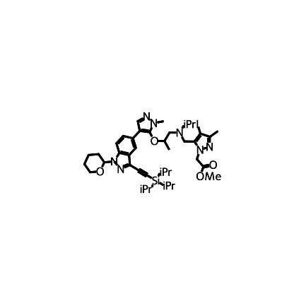 COC(=O)Cn1nc(C)c(I)c1CN(CC(C)Oc1c(-c2ccc3c(c2)c(C#C[Si](C(C)C)(C(C)C)C(C)C)nn3C2CCCCO2)cnn1C)C(C)C